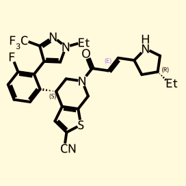 CC[C@H]1CNC(/C=C/C(=O)N2Cc3sc(C#N)cc3[C@H](c3cccc(F)c3-c3cn(CC)nc3C(F)(F)F)C2)C1